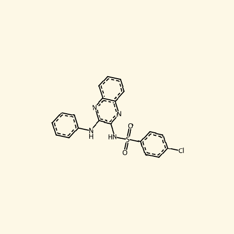 O=S(=O)(Nc1nc2ccccc2nc1Nc1ccccc1)c1ccc(Cl)cc1